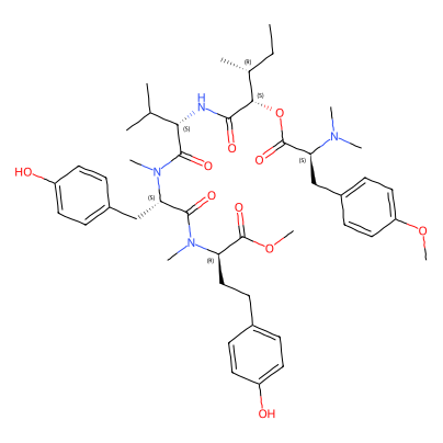 CC[C@@H](C)[C@H](OC(=O)[C@H](Cc1ccc(OC)cc1)N(C)C)C(=O)N[C@H](C(=O)N(C)[C@@H](Cc1ccc(O)cc1)C(=O)N(C)[C@H](CCc1ccc(O)cc1)C(=O)OC)C(C)C